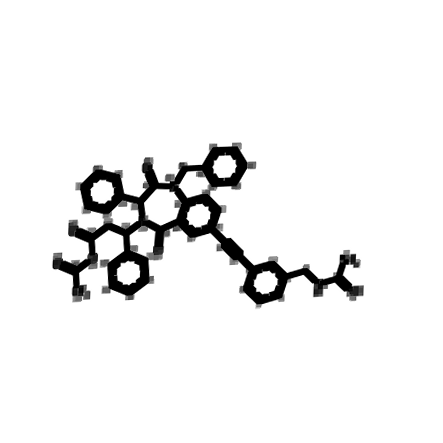 N=C(N)NCc1cccc(C#Cc2ccc3c(c2)C(=O)N(C(CC(=O)OC(=O)C(F)(F)F)c2ccccc2)C(c2ccccc2)C(=O)N3Cc2ccccc2)c1